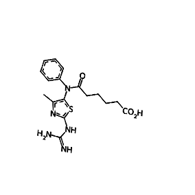 Cc1nc(NC(=N)N)sc1N(C(=O)CCCCC(=O)O)c1ccccc1